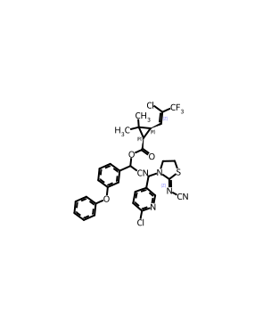 CC1(C)[C@H](C(=O)OC(C#N)c2cccc(Oc3ccccc3)c2)[C@@H]1/C=C(\Cl)C(F)(F)F.N#C/N=C1\SCCN1Cc1ccc(Cl)nc1